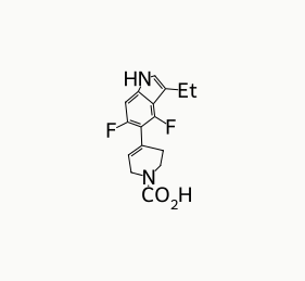 CCc1c[nH]c2cc(F)c(C3=CCN(C(=O)O)CC3)c(F)c12